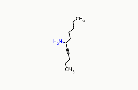 CCCC#CC(N)CCCCC